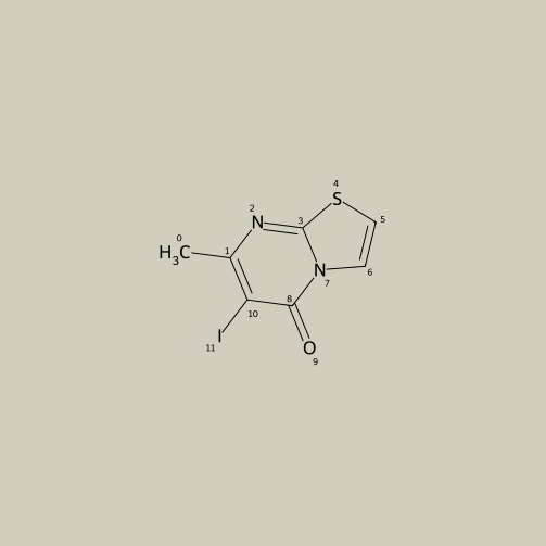 Cc1nc2sccn2c(=O)c1I